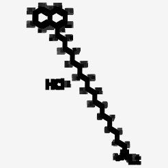 CCN(C)CCCCCCCCCCCCCCCCCCc1cccc2ccccc12.Cl